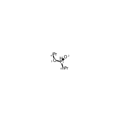 CCC[PH](=O)OC(C)C